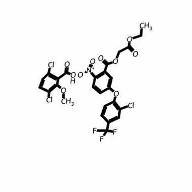 CCOC(=O)COC(=O)c1cc(Oc2ccc(C(F)(F)F)cc2Cl)ccc1[N+](=O)[O-].COc1c(Cl)ccc(Cl)c1C(=O)O